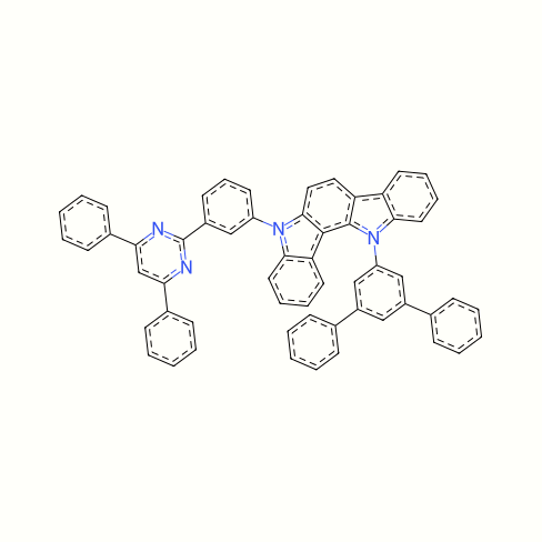 c1ccc(-c2cc(-c3ccccc3)cc(-n3c4ccccc4c4ccc5c(c6ccccc6n5-c5cccc(-c6nc(-c7ccccc7)cc(-c7ccccc7)n6)c5)c43)c2)cc1